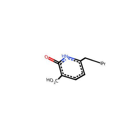 CC(C)Cc1ccc(C(=O)O)c(=O)[nH]1